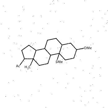 COC1CCC2(SC)C(CCC3C4CCC(C(C)=O)C4(C)CCC32)C1